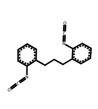 O=C=Nc1ccccc1CCCc1ccccc1N=C=O